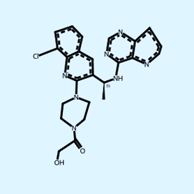 C[C@H](Nc1ncnc2cccnc12)c1cc2cccc(Cl)c2nc1N1CCN(C(=O)CO)CC1